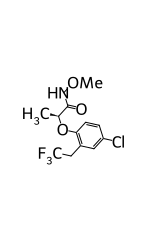 CONC(=O)[C@H](C)Oc1ccc(Cl)cc1CC(F)(F)F